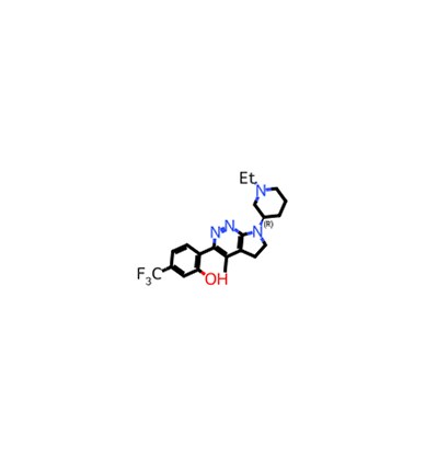 CCN1CCC[C@@H](N2CCc3c2nnc(-c2ccc(C(F)(F)F)cc2O)c3C)C1